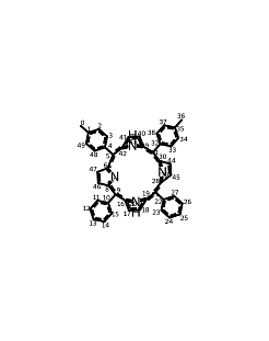 Cc1ccc(-c2c3nc(c(-c4ccccc4)c4ccc([nH]4)c(-c4ccccc4)c4nc(c(-c5ccc(C)cc5)c5ccc2[nH]5)C=C4)C=C3)cc1